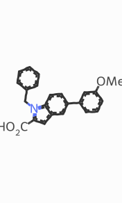 COc1cccc(-c2ccc3c(c2)cc(C(=O)O)n3Cc2ccccc2)c1